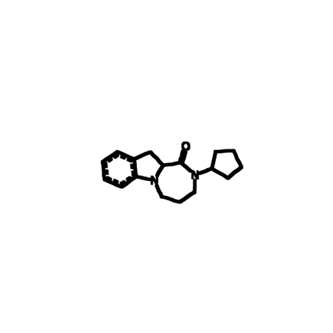 O=C1C2Cc3ccccc3N2CCCN1C1CCCC1